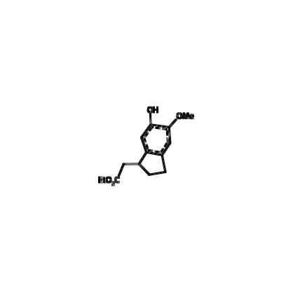 CCOC(=O)CC1CCc2cc(OC)c(O)cc21